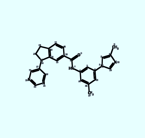 Cc1cn(-c2cc(NC(=O)c3ccc4c(c3)N(c3cncnc3)CC4)cc(C(F)(F)F)c2)cn1